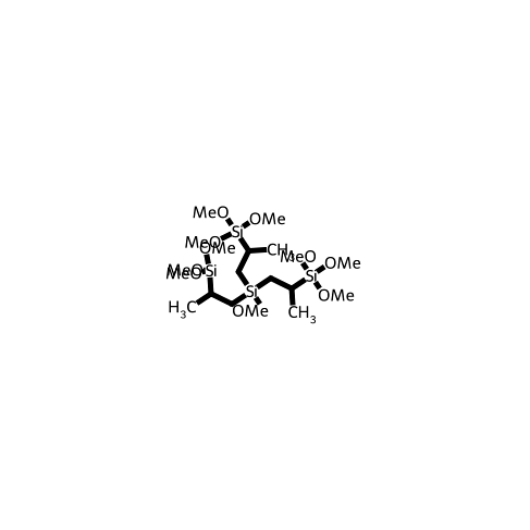 CO[Si](CC(C)[Si](OC)(OC)OC)(CC(C)[Si](OC)(OC)OC)CC(C)[Si](OC)(OC)OC